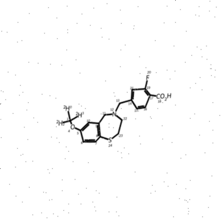 [2H]C([2H])([2H])Oc1ccc2c(c1)CN(Cc1ccc(C(=O)O)c(F)c1)CCS2